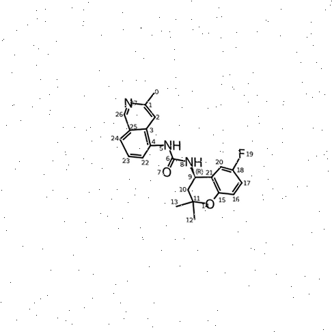 Cc1cc2c(NC(=O)N[C@@H]3CC(C)(C)Oc4ccc(F)cc43)cccc2cn1